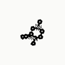 c1ccc(-c2nc(-c3cccc(-c4cccc(-c5nc(-c6ccccc6)nc(-c6ccccc6)n5)c4)c3)cc(-c3cccc4c3oc3cc5ccccc5cc34)n2)cc1